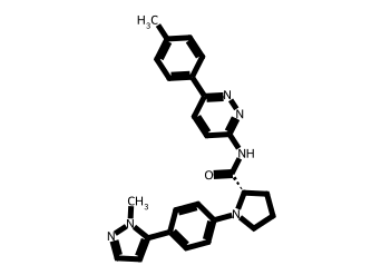 Cc1ccc(-c2ccc(NC(=O)[C@@H]3CCCN3c3ccc(-c4ccnn4C)cc3)nn2)cc1